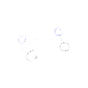 c1ccc(Cn2cnnc2CCCCCn2cnnc2-c2ccccc2)cc1